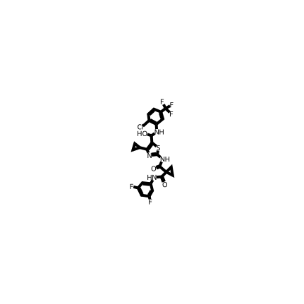 O=C(Nc1cc(F)cc(F)c1)C1(C(=O)Nc2nc(C3CC3)c(C(O)Nc3cc(C(F)(F)F)ccc3Cl)s2)CC1